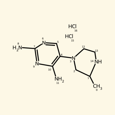 CC1CN(c2cnc(N)nc2N)CCN1.Cl.Cl